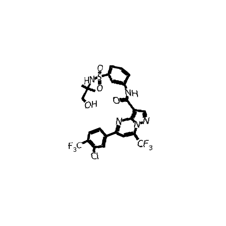 CC(C)(CO)NS(=O)(=O)c1cccc(NC(=O)c2cnn3c(C(F)(F)F)cc(-c4ccc(C(F)(F)F)c(Cl)c4)nc23)c1